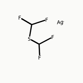 FC(F)SC(F)F.[Ag]